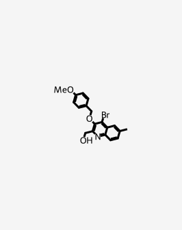 COc1ccc(COc2c(CO)nc3ccc(C)cc3c2Br)cc1